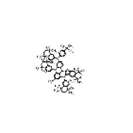 Cc1cc2c3c(c1)N(c1ccc4c(c1)C(C)(C)CCC4(C)C)c1c(sc4cc5c(cc14)C(C)(C)CCC5(C)C)B3c1ccc(N(c3ccc(C(C)(C)C)cc3)c3ccc4c(c3)C(C)(C)CCC4(C)C)cc1N2c1ccc2c(c1)C(C)(C)CCC2(C)C